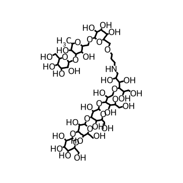 CC1OC(COC2OC(COCCCNCC(O)C(O)C(OC3OC(CO)C(O)C(OC4OC(CO)C(O)C(OC5OC(CO)C(O)C(OC6OC(CO)C(O)C(O)C6O)C5O)C4O)C3O)C(O)CO)C(O)C(O)C2O)C(O)C(OC2OC(CO)C(O)C(O)C2O)C1O